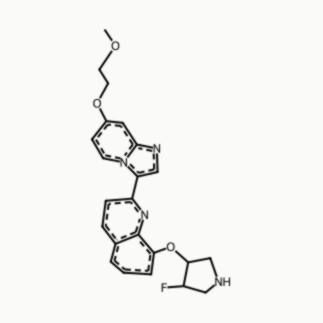 COCCOc1ccn2c(-c3ccc4cccc(OC5CNCC5F)c4n3)cnc2c1